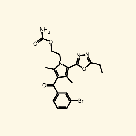 CCc1nnc(-c2c(C)c(C(=O)c3cccc(Br)c3)c(C)n2CCOC(N)=O)o1